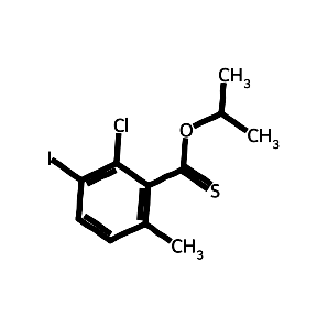 Cc1ccc(I)c(Cl)c1C(=S)OC(C)C